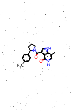 Cc1c[nH]c(=O)c2c(C(=O)N3CCCC3c3ccc(C(F)(F)F)cc3)c[nH]c12